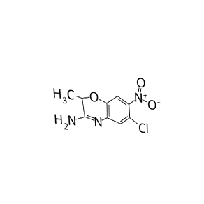 CC1Oc2cc([N+](=O)[O-])c(Cl)cc2N=C1N